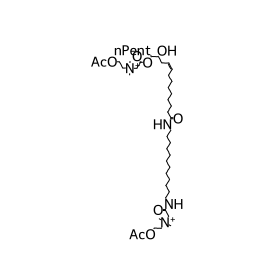 CCCCCC(OC(=O)C[N+](C)(C)CCOC(C)=O)C(O)C/C=C\CCCCCCCC(=O)NCCCCCCCCCCCCNC(=O)C[N+](C)(C)CCOC(C)=O